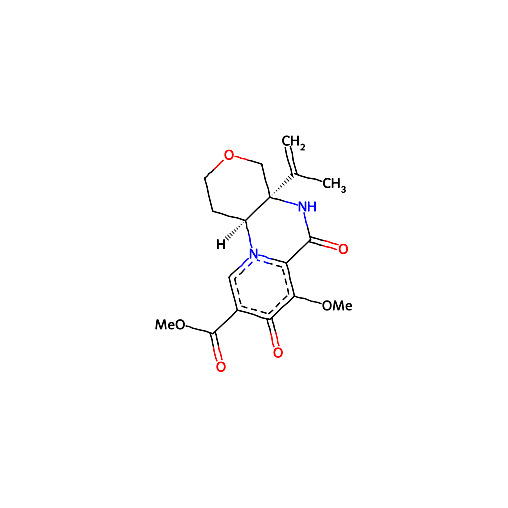 C=C(C)[C@@]12COCC[C@@H]1n1cc(C(=O)OC)c(=O)c(OC)c1C(=O)N2